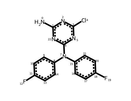 Nc1nc(Cl)nc(N(c2ccc(F)cc2)c2ccc(F)cc2)n1